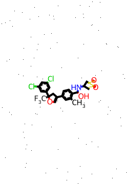 Cc1cc(C2=COC(c3cc(Cl)cc(Cl)c3)(C(F)(F)F)C2)ccc1C(O)NC1CS(=O)(=O)C1